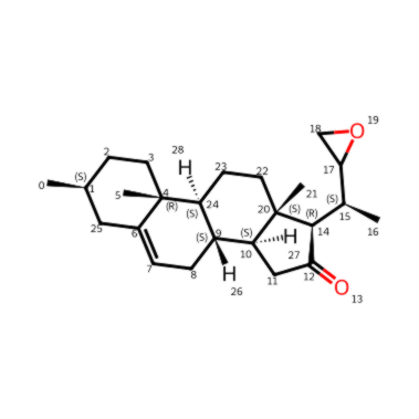 C[C@H]1CC[C@@]2(C)C(=CC[C@H]3[C@@H]4CC(=O)[C@H]([C@H](C)C5CO5)[C@@]4(C)CC[C@@H]32)C1